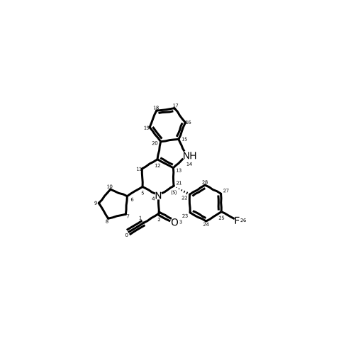 C#CC(=O)N1C(C2CCCC2)Cc2c([nH]c3ccccc23)[C@@H]1c1ccc(F)cc1